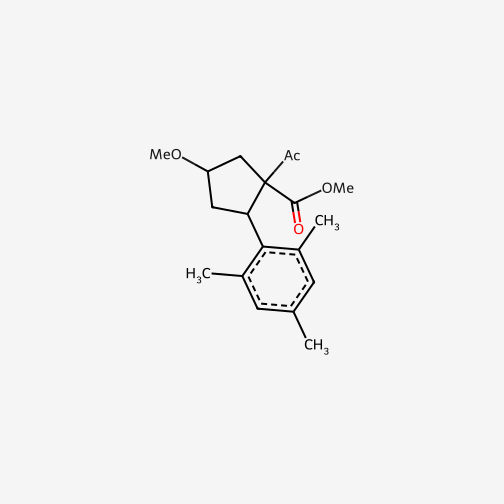 COC(=O)C1(C(C)=O)CC(OC)CC1c1c(C)cc(C)cc1C